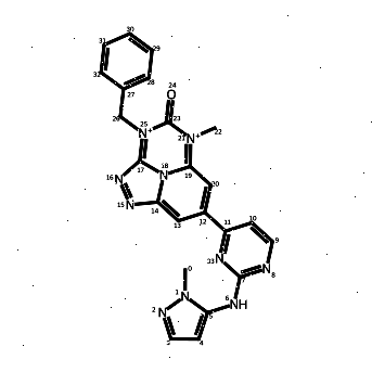 Cn1nccc1Nc1nccc(-c2cc3nnc4n3c(c2)[n+](C)c(=O)[n+]4Cc2ccccc2)n1